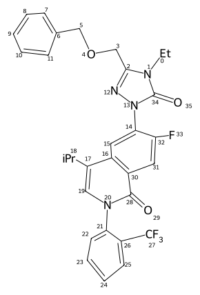 CCn1c(COCc2ccccc2)nn(-c2cc3c(C(C)C)cn(-c4ccccc4C(F)(F)F)c(=O)c3cc2F)c1=O